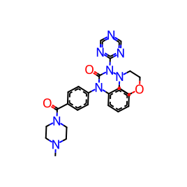 CN1CCN(C(=O)c2ccc(N(C(=O)N(c3ncncn3)N3CCOCC3)c3ccccc3)cc2)CC1